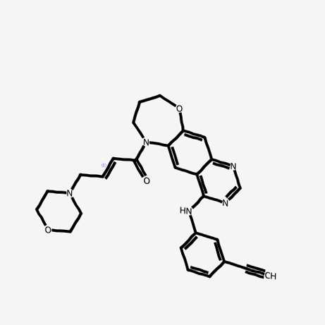 C#Cc1cccc(Nc2ncnc3cc4c(cc23)N(C(=O)/C=C/CN2CCOCC2)CCCO4)c1